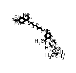 CC(C)c1cc(NCCCCCCSc2ccnc3cc(C(F)(F)F)ccc23)ccc1N1CCN(C(=O)OC(C)(C)C)CC1